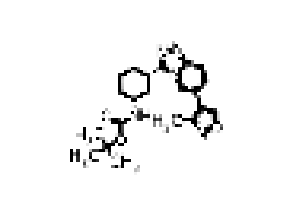 Cc1nocc1-c1ccc2nnc([C@H]3CCC[C@@H](NC(=O)OC(C)(C)C)C3)n2c1